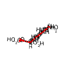 N[C@H]([C]=O)CCCCNC(=O)[C@@H](N)CCCCNC(=O)COCCOCCNC(=O)COCCOCCNC(=O)CC[C@H](NC(=O)CCCCCCCCCCCOc1ccc(C(=O)O)cc1)C(=O)O